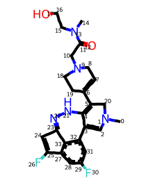 CN1C=C2C(=C(C3=CCN(CC(=O)N(C)CCO)CC3)C1)NN=C1C=C(F)c3cc(F)cc2c31